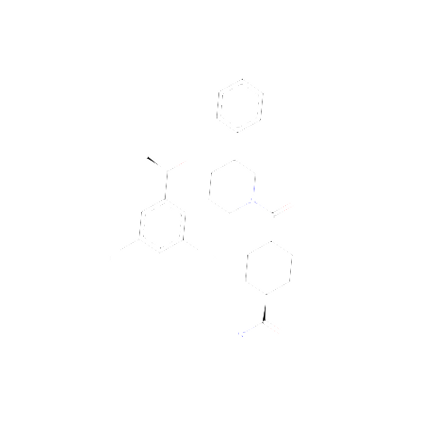 C[C@@H](O[C@H]1CCN(C(=O)[C@H]2CC[C@H](C(N)=O)CC2)C[C@H]1c1ccccc1)c1cc(C(F)(F)F)cc(C(F)(F)F)c1